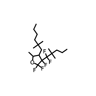 CCCCC(C)(C)CC1C(C)OC(F)(F)C1(F)C(F)(F)C(C)(C)CCC